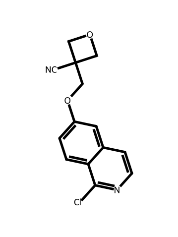 N#CC1(COc2ccc3c(Cl)nccc3c2)COC1